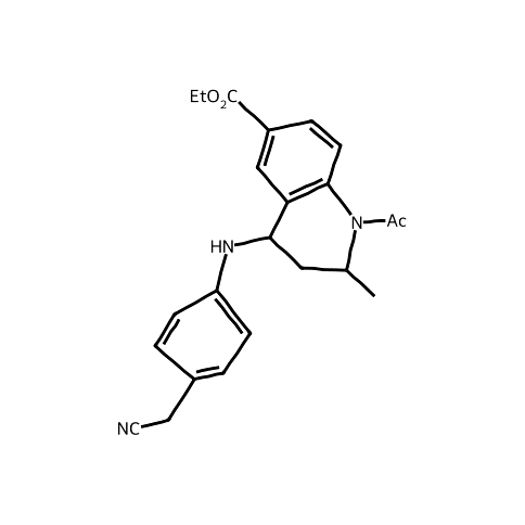 CCOC(=O)c1ccc2c(c1)C(Nc1ccc(CC#N)cc1)CC(C)N2C(C)=O